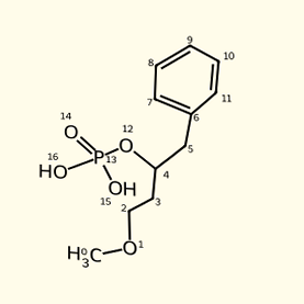 COCCC(Cc1ccccc1)OP(=O)(O)O